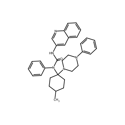 CC1CCC(N2CCN(c3ccccc3)CC2)(N(C(=O)Nc2cnc3ccccc3c2)c2ccccc2)CC1